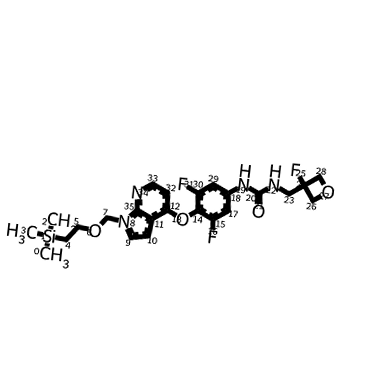 C[Si](C)(C)CCOCn1ccc2c(Oc3c(F)cc(NC(=O)NCC4(F)COC4)cc3F)ccnc21